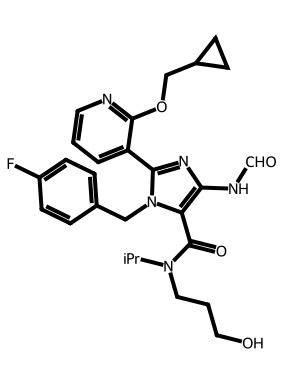 CC(C)N(CCCO)C(=O)c1c(NC=O)nc(-c2cccnc2OCC2CC2)n1Cc1ccc(F)cc1